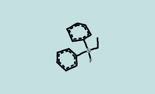 CC[Si](F)(c1ccccc1)c1ccccc1